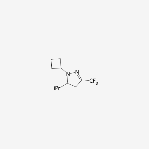 CC(C)C1CC(C(F)(F)F)=NN1C1CCC1